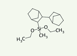 CCO[Si](C)(OCC)C1C2CCC(C2)C1C1CC2CCC1C2